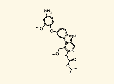 COCc1c(OC(=O)OC(C)C)ncc2[nH]c3ccc(Oc4ccc(N)cc4OC)cc3c12